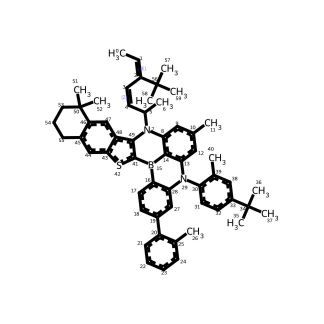 C/C=C(\C=C/C(C)N1c2cc(C)cc3c2B(c2ccc(-c4ccccc4C)cc2N3c2ccc(C(C)(C)C)cc2C)c2sc3cc4c(cc3c21)C(C)(C)CCC4)C(C)(C)C